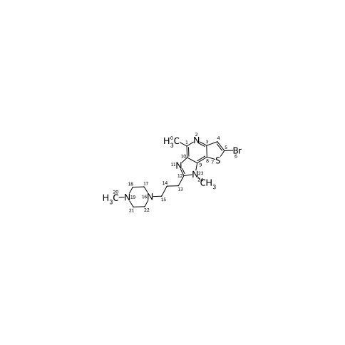 Cc1nc2cc(Br)sc2c2c1nc(CCCN1CCN(C)CC1)n2C